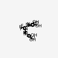 O=C(O)c1ccc(-n2cc(-c3cc(C(F)(F)F)cc(-c4cn(-c5ccc(C(=O)O)c(O)c5)nn4)n3)nn2)cc1O